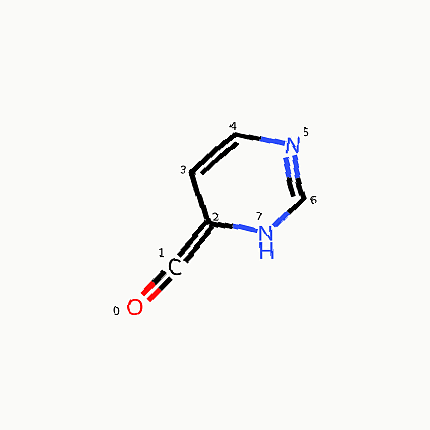 O=C=C1C=CN=CN1